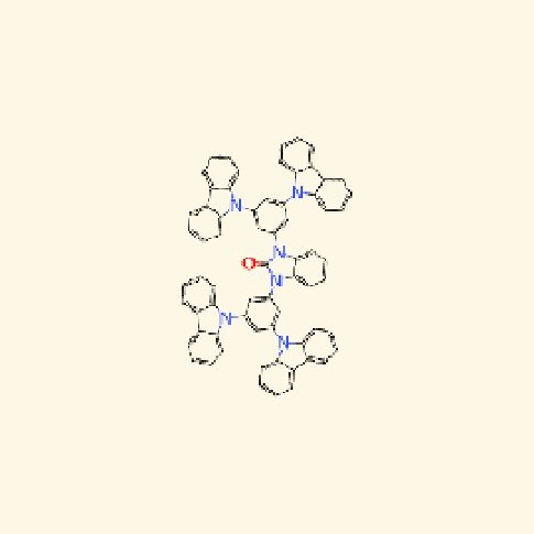 O=c1n(-c2cc(-n3c4ccccc4c4ccccc43)cc(-n3c4ccccc4c4ccccc43)c2)c2ccccc2n1-c1cc(-n2c3ccccc3c3ccccc32)cc(-n2c3ccccc3c3ccccc32)c1